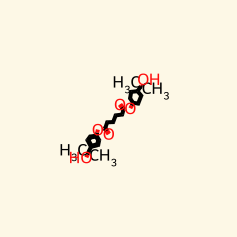 CC(C)(O)c1ccc(OC(=O)CCCCC(=O)OC2CCC(C(C)(C)O)CC2)cc1